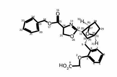 O=C(O)COc1ccccc1C[C@@H]1[C@H](C2=NC(C(=O)OCc3ccccc3)CO2)[C@H]2CC[C@@H]1O2